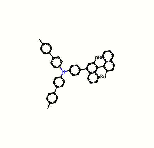 CCCCc1ccc2ccccc2c1-c1c(CCCC)cc(-c2ccc(N(c3ccc(-c4ccc(C)cc4)cc3)c3ccc(-c4ccc(C)cc4)cc3)cc2)c2ccccc12